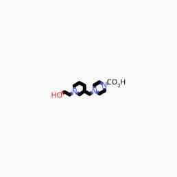 O=C(O)N1CCN(CC2CCCN(CCO)C2)CC1